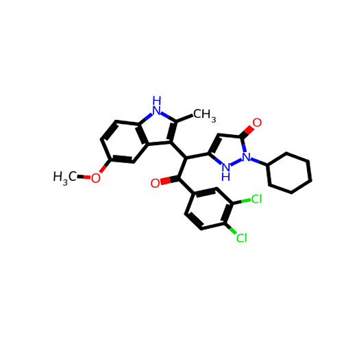 COc1ccc2[nH]c(C)c(C(C(=O)c3ccc(Cl)c(Cl)c3)c3cc(=O)n(C4CCCCC4)[nH]3)c2c1